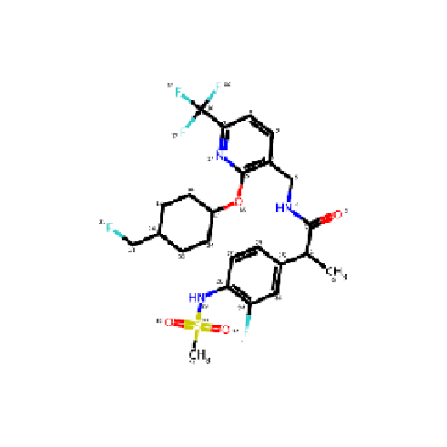 CC(C(=O)NCc1ccc(C(F)(F)F)nc1OC1CCC(CF)CC1)c1ccc(NS(C)(=O)=O)c(F)c1